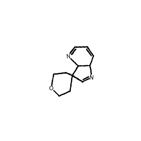 C1=CC2N=CC3(CCOCC3)C2N=C1